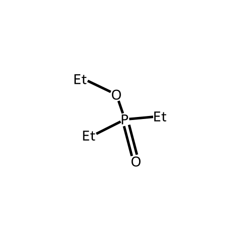 [CH2]COP(=O)(CC)CC